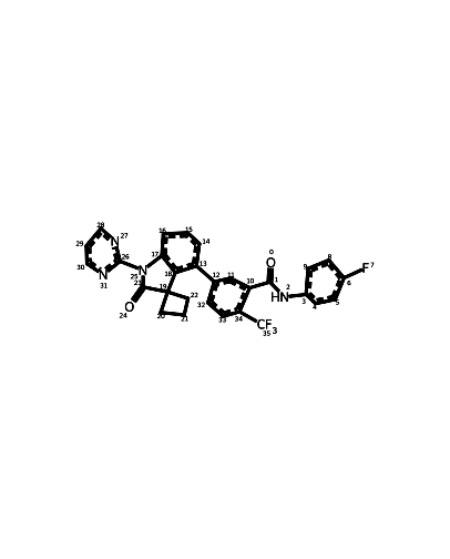 O=C(Nc1ccc(F)cc1)c1cc(-c2cccc3c2C2(CCC2)C(=O)N3c2ncccn2)ccc1C(F)(F)F